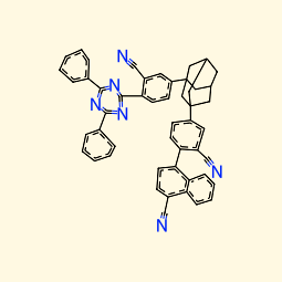 N#Cc1cc(C23CC4CC(C2)CC(c2ccc(-c5ccc(C#N)c6ccccc56)c(C#N)c2)(C4)C3)ccc1-c1nc(-c2ccccc2)nc(-c2ccccc2)n1